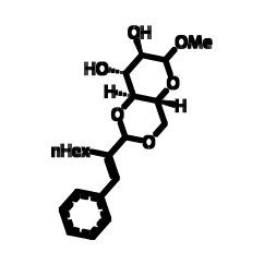 CCCCCCC(=Cc1ccccc1)C1OC[C@H]2OC(OC)[C@H](O)[C@@H](O)[C@@H]2O1